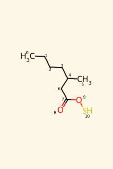 CCCCC(C)CC(=O)OS